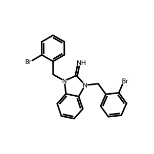 N=c1n(Cc2ccccc2Br)c2ccccc2n1Cc1ccccc1Br